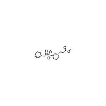 COC(=O)/C=C/c1cccc(S(=O)(=O)NCc2cccnc2)c1